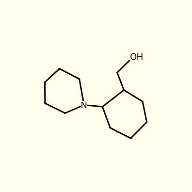 OCC1CCCCC1N1CCCCC1